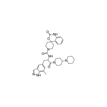 Cc1cc(CC(NC(=O)N2CCC3(CC2)OC(=O)Nc2ccccc23)C(=O)N2CCC(N3CCCCC3)CC2)cc2cn[nH]c12